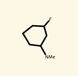 CNC1CCCC(F)C1